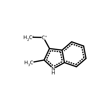 [CH2-][CH+]c1c(C)[nH]c2ccccc12